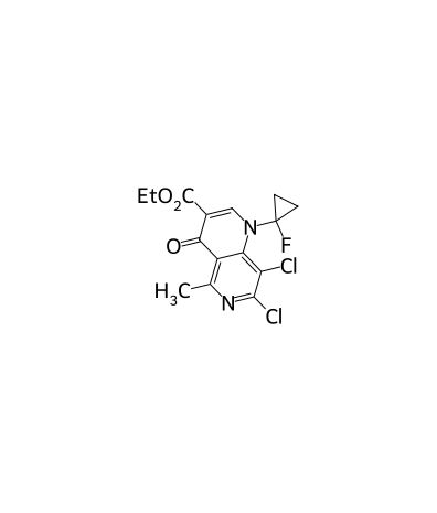 CCOC(=O)c1cn(C2(F)CC2)c2c(Cl)c(Cl)nc(C)c2c1=O